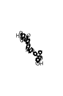 O=C1CC[C@H](N2Cc3cc(N4CCN(CC5CCN(c6ccc([C@@H]7c8ccc(O)cc8OC[C@@H]7c7ccccc7)cc6)CC5)CC4)ccc3C2=O)C(=O)N1